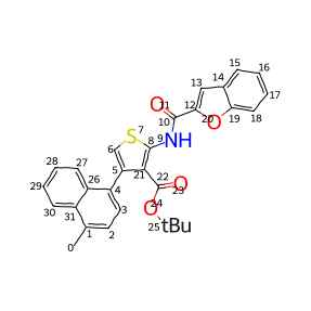 Cc1ccc(-c2csc(NC(=O)c3cc4ccccc4o3)c2C(=O)OC(C)(C)C)c2ccccc12